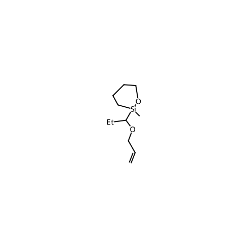 C=CCOC(CC)[Si]1(C)CCCCO1